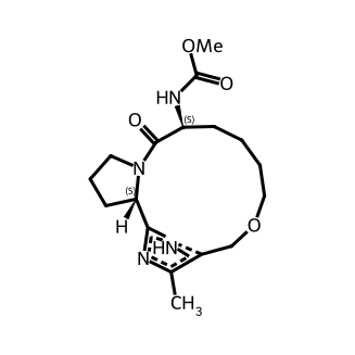 COC(=O)N[C@H]1CCCCOCc2[nH]c(nc2C)[C@@H]2CCCN2C1=O